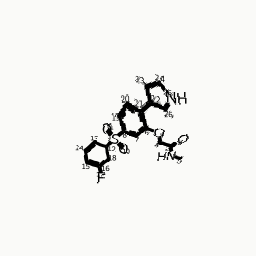 CNC(=O)COc1cc(S(=O)(=O)C2C=CC=C(F)C2)ccc1C1CCNC1